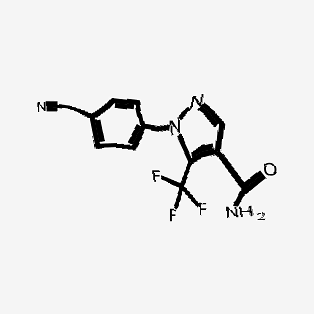 N#Cc1ccc(-n2ncc(C(N)=O)c2C(F)(F)F)cc1